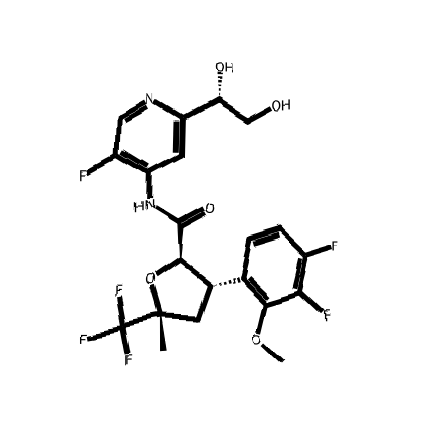 COc1c([C@@H]2C[C@](C)(C(F)(F)F)O[C@H]2C(=O)Nc2cc([C@H](O)CO)ncc2F)ccc(F)c1F